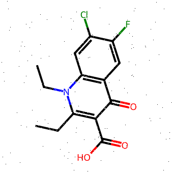 CCc1c(C(=O)O)c(=O)c2cc(F)c(Cl)cc2n1CC